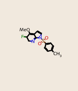 COC1=c2ccn(S(=O)(=O)c3ccc(C)cc3)c2=NCC1F